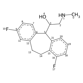 CNCC(O)C1c2ccc(F)cc2CCc2c(F)cccc21